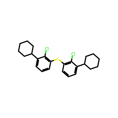 Clc1c(Sc2cccc(C3CCCCC3)c2Cl)cccc1C1CCCCC1